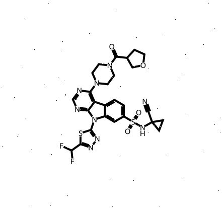 N#CC1(NS(=O)(=O)c2ccc3c4c(N5CCN(C(=O)C6CCOC6)CC5)ncnc4n(-c4nnc(C(F)F)s4)c3c2)CC1